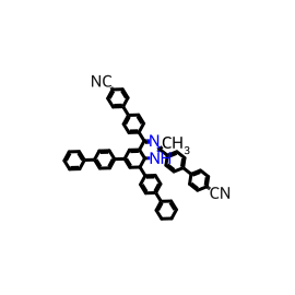 CC1(c2ccc(-c3ccc(C#N)cc3)cc2)N=C(c2ccc(-c3ccc(C#N)cc3)cc2)C2=CC(c3ccc(-c4ccccc4)cc3)=CC(c3ccc(C4=CCCC=C4)cc3)C2N1